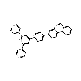 c1ccc2c(c1)cnc1cc(-c3ccc(-c4cc(-c5ccncc5)nc(-c5ccncc5)c4)cc3)ccc12